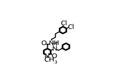 Cn1ccc(C(=O)NCCCc2ccc(Cl)c(Cl)c2)c(NCc2ccccc2)c1=O